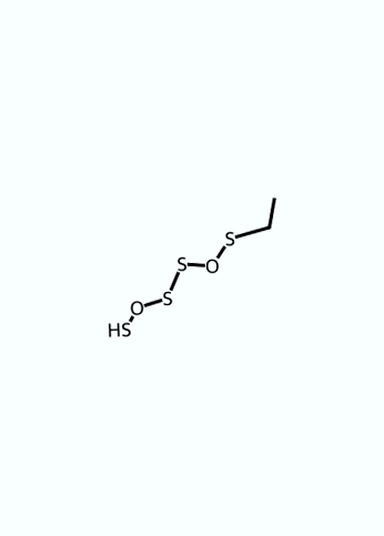 CCSOSSOS